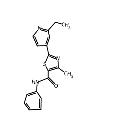 CCc1cc(-c2nc(C)c(C(=O)Nc3ccccc3)s2)ccn1